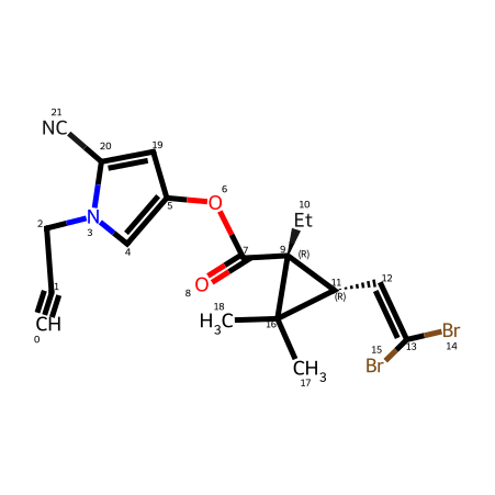 C#CCn1cc(OC(=O)[C@]2(CC)[C@H](C=C(Br)Br)C2(C)C)cc1C#N